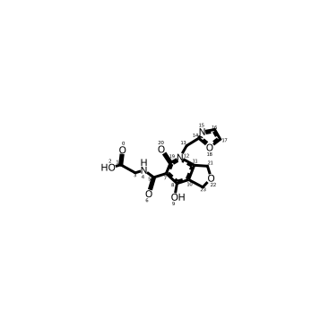 O=C(O)CNC(=O)c1c(O)c2c(n(Cc3ncco3)c1=O)COC2